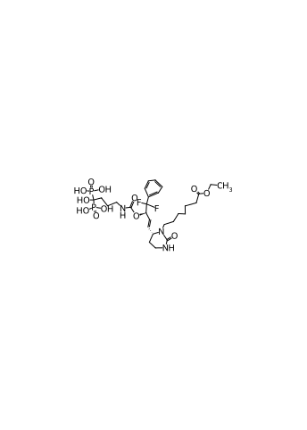 CCOC(=O)CCCCCCN1C(=O)NCC[C@@H]1/C=C/[C@@H](OC(=O)NCCCC(O)(P(=O)(O)O)P(=O)(O)O)C(F)(F)c1ccccc1